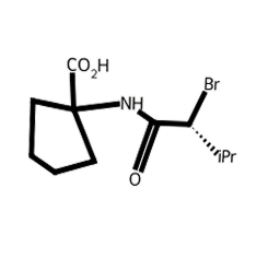 CC(C)[C@@H](Br)C(=O)NC1(C(=O)O)CCCC1